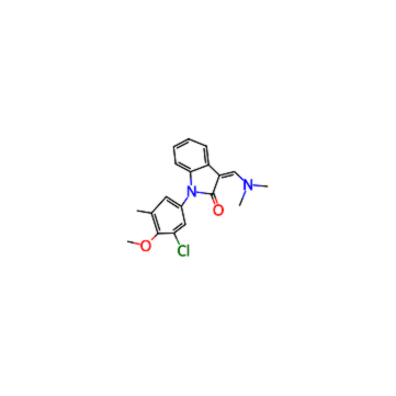 COc1c(C)cc(N2C(=O)C(=CN(C)C)c3ccccc32)cc1Cl